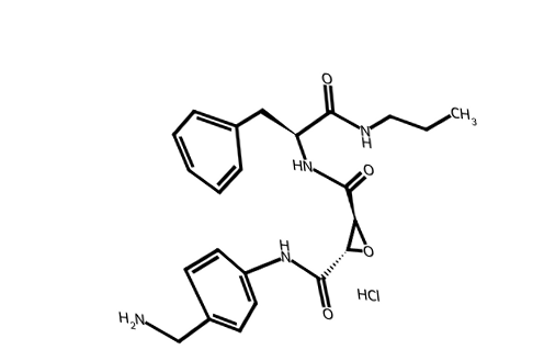 CCCNC(=O)[C@H](Cc1ccccc1)NC(=O)[C@H]1O[C@@H]1C(=O)Nc1ccc(CN)cc1.Cl